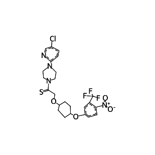 O=[N+]([O-])c1ccc(OC2CCC(OCC(=S)N3CCN(c4ccc(Cl)cn4)CC3)CC2)cc1C(F)(F)F